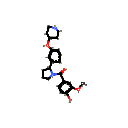 COc1cc(C(=O)N2CCCC2c2cccc(OC3CCNCC3)c2)ccc1Br